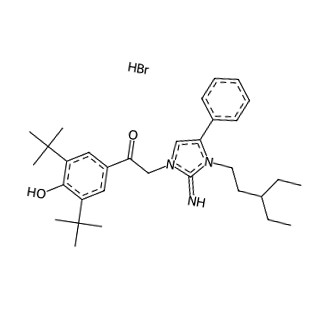 Br.CCC(CC)CCn1c(-c2ccccc2)cn(CC(=O)c2cc(C(C)(C)C)c(O)c(C(C)(C)C)c2)c1=N